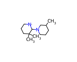 CC1CCCN(C2[N]CCCC2(C)C)C1